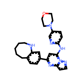 c1cc2nc(-c3ccc4c(c3)NCCCCC4)cc(Nc3ccc(N4CCOCC4)cn3)n2n1